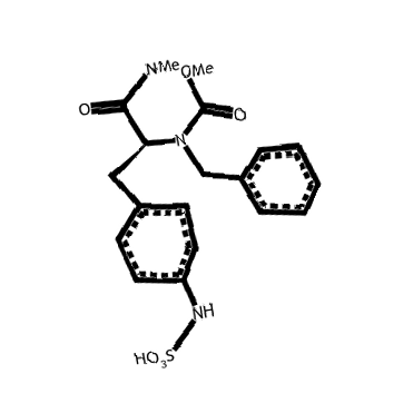 CNC(=O)[C@H](Cc1ccc(NS(=O)(=O)O)cc1)N(Cc1ccccc1)C(=O)OC